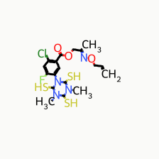 C=CCON=C(C)COC(=O)c1cc(N2C(S)N(C)C(S)N(C)C2S)c(F)cc1Cl